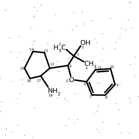 CC(C)(O)C(Oc1ccccc1)C1CCCCC1N